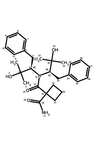 CC(C)(O)[C@@H](Cc1ccccc1)N(C(=O)C1(C(N)=O)CCC1)[C@H](Cc1ccccc1)C(C)(C)O